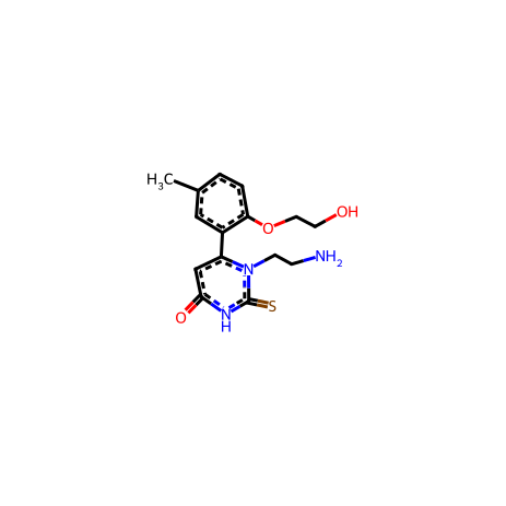 Cc1ccc(OCCO)c(-c2cc(=O)[nH]c(=S)n2CCN)c1